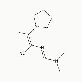 CC(=C(C#N)N=CN(C)C)N1CCCC1